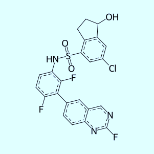 O=S(=O)(Nc1ccc(F)c(-c2ccc3nc(F)ncc3c2)c1F)c1cc(Cl)cc2c1CCC2O